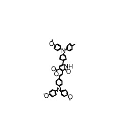 COc1ccc(N(c2ccc(C)cc2)c2ccc(-c3cc4c(=O)oc(-c5ccc(N(c6ccc(OC)cc6)c6ccc(OC)cc6)cc5)cc4c(=O)[nH]3)cc2)cc1